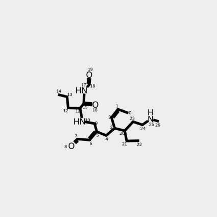 C/C=C\C(C/C(=C/C=O)CNC(CCC)C(=O)NC=O)C(CC)CCNC